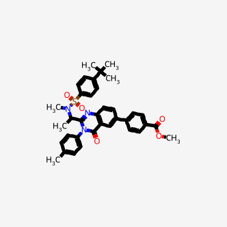 COC(=O)c1ccc(-c2ccc3nc(C(C)N(C)S(=O)(=O)c4ccc(C(C)(C)C)cc4)n(-c4ccc(C)cc4)c(=O)c3c2)cc1